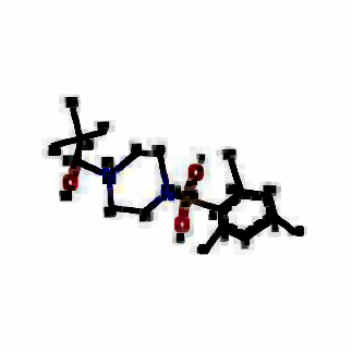 Cc1cc(C)c(S(=O)(=O)N2CCN(C(=O)C(C)(C)C)CC2)c(C)c1